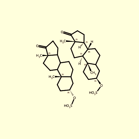 C[C@]12CC[C@@H](OS(=O)(=O)O)CC1CCC1C2CC[C@]2(C)C(=O)CCC12.C[C@]12CC[C@H](OS(=O)(=O)O)CC1CC[C@@H]1[C@@H]2CC[C@]2(C)C(=O)CC[C@@H]12